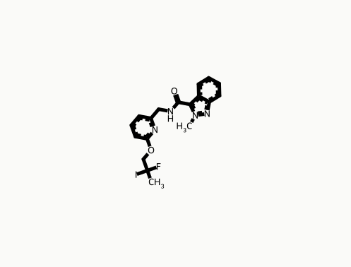 Cn1nc2ccccc2c1C(=O)NCc1cccc(OCC(C)(F)I)n1